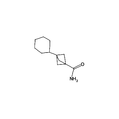 NC(=O)C12CC(C3CCCCC3)(C1)C2